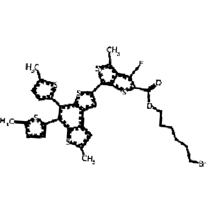 Cc1ccc(-c2c(-c3ccc(C)s3)c3sc(-c4sc(C)c5c(F)c(C(=O)OCCCCCCBr)sc45)cc3c3cc(C)sc23)s1